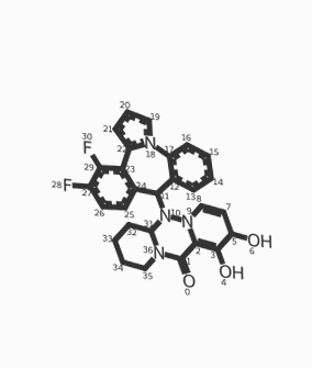 O=C1C2=C(O)C(O)C=CN2N(C2c3ccccc3-n3cccc3-c3c2ccc(F)c3F)C2CCCCN12